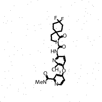 CNC(=O)c1cc(Oc2ccc(NC(=O)N3CCC4(CCC(F)(F)CC4)C3=O)nc2C)ccn1